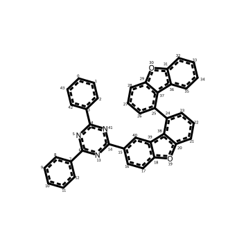 c1ccc(-c2nc(-c3ccccc3)nc(-c3ccc4oc5cccc(-c6cccc7oc8ccccc8c67)c5c4c3)n2)cc1